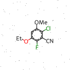 CCOc1cc(OC)c(Cl)c(C#N)c1F